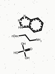 CCCCCCCCCCCCN.O=P(O)(O)O.c1ccc2[nH]nnc2c1